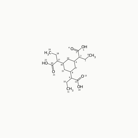 CCC(C(=O)O)C1[CH]C(C(CC)C(=O)O)CC(C(CC)C(=O)O)C1